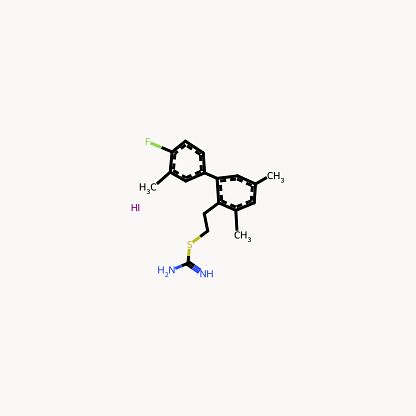 Cc1cc(C)c(CCSC(=N)N)c(-c2ccc(F)c(C)c2)c1.I